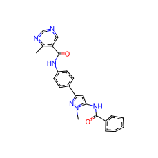 Cc1ncncc1C(=O)Nc1ccc(-c2cc(NC(=O)c3ccccc3)n(C)n2)cc1